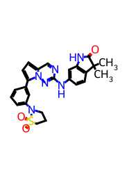 CC1(C)C(=O)Nc2cc(Nc3ncc4ccc(-c5cccc(N6CCCS6(=O)=O)c5)n4n3)ccc21